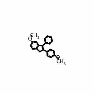 COc1ccc(C2=C(c3ccccc3)c3cc(OC)ccc3C2)cc1